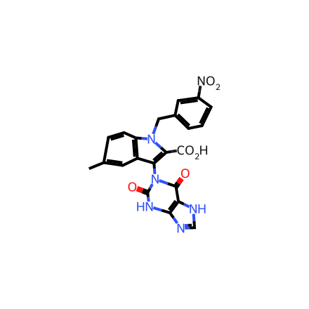 Cc1ccc2c(c1)c(-n1c(=O)[nH]c3nc[nH]c3c1=O)c(C(=O)O)n2Cc1cccc([N+](=O)[O-])c1